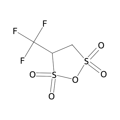 O=S1(=O)CC(C(F)(F)F)S(=O)(=O)O1